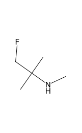 CNC(C)(C)CF